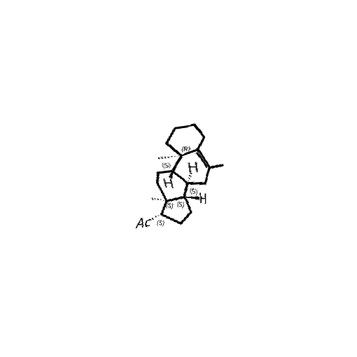 CC(=O)[C@H]1CC[C@H]2[C@@H]3CC(C)=C4CCCC[C@]4(C)[C@H]3CC[C@]12C